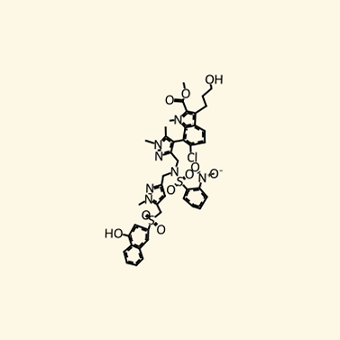 COC(=O)c1c(CCCO)c2ccc(Cl)c(-c3c(CN(Cc4cc(CS(=O)(=O)c5cc(O)c6ccccc6c5)n(C)n4)S(=O)(=O)c4ccccc4[N+](=O)[O-])nn(C)c3C)c2n1C